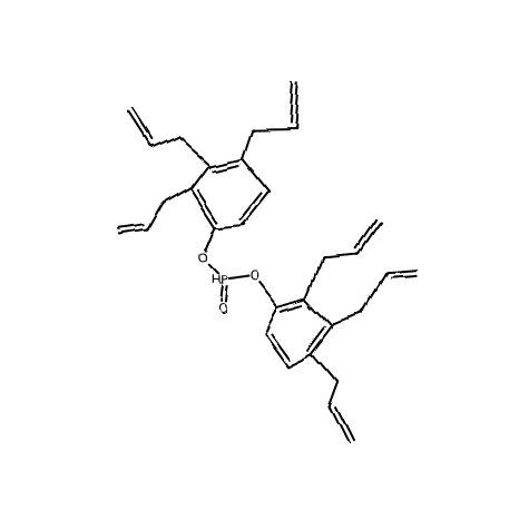 C=CCc1ccc(O[PH](=O)Oc2ccc(CC=C)c(CC=C)c2CC=C)c(CC=C)c1CC=C